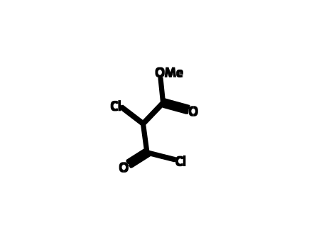 COC(=O)C(Cl)C(=O)Cl